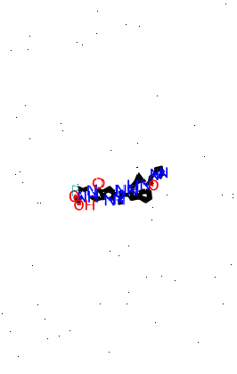 Cn1c(-c2cc3cccc(NC(=O)Cn4ccnc4)c3n2CC2CC2)nc2cc3c(nc21)CCN(CC(CF)NC(=O)O)C3=O